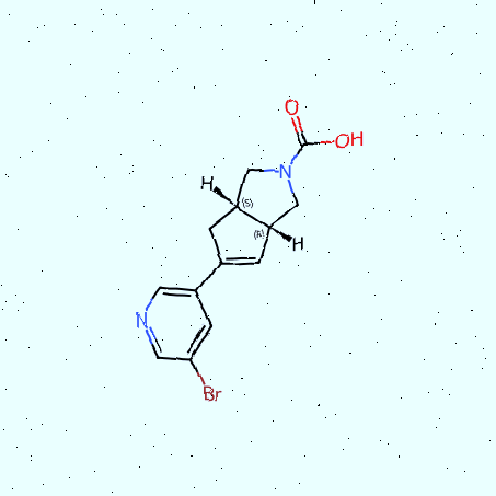 O=C(O)N1C[C@H]2CC(c3cncc(Br)c3)=C[C@H]2C1